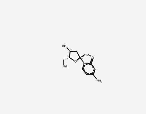 CO[C@]1(n2ccc(N)nc2=O)C[C@H](O)[C@@H](CO)O1